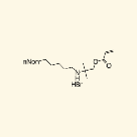 Br.C=CC(=O)OCC(C)(C)NCCCCCCCCCCCCCC